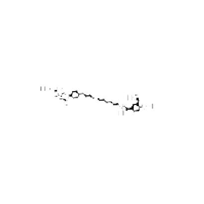 CC(=O)ON1CC(=O)N(c2ccc(CCCCOCCCCCCNC[C@@H](O)c3ccc(O)c(CO)c3)cc2)C1=O